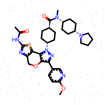 COc1ccc(-c2nn([C@H]3CC[C@H](C(=O)N(C)[C@H]4CC[C@@H](N5CCCC5)CC4)CC3)c3c2OCc2nc(NC(C)=O)sc2-3)cn1